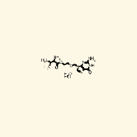 CC(C)C(N)C(=O)OCCOCn1cnc2c(=O)[nH]c(N)nc21.Cl.O